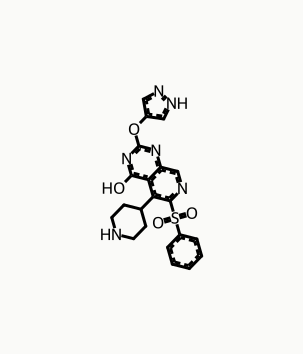 O=S(=O)(c1ccccc1)c1ncc2nc(Oc3cn[nH]c3)nc(O)c2c1C1CCNCC1